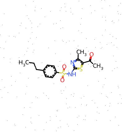 CCCc1ccc(S(=O)(=O)Nc2nc(C)c(C(C)=O)s2)cc1